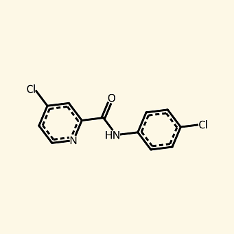 O=C(Nc1ccc(Cl)cc1)c1cc(Cl)ccn1